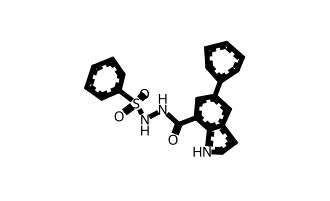 O=C(NNS(=O)(=O)c1ccccc1)c1cc(-c2ccccc2)cc2cc[nH]c12